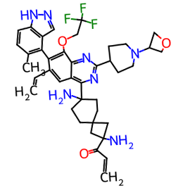 C=CC(=O)C1(N)CC2(CCC(N)(c3nc(C4CCN(C5COC5)CC4)nc4c(OCC(F)(F)F)c(-c5c(C)ccc6[nH]ncc56)c(C=C)cc34)CC2)C1